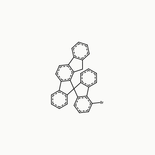 Brc1cccc2c1-c1ccccc1C21c2ccccc2-c2ccc3c(c21)Cc1ccccc1-3